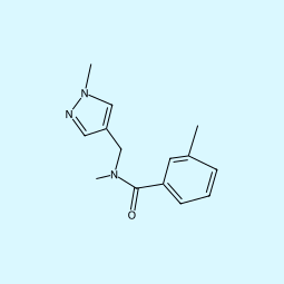 Cc1cccc(C(=O)N(C)Cc2cnn(C)c2)c1